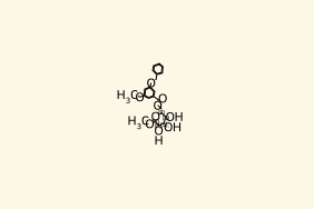 COc1cc(OCc2ccccc2)cc(C(=O)OC[C@H]2O[C@@H](OC)[C@H](O)[C@@H](O)[C@@H]2O)c1